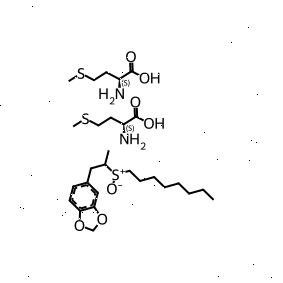 CCCCCCCC[S+]([O-])C(C)Cc1ccc2c(c1)OCO2.CSCC[C@H](N)C(=O)O.CSCC[C@H](N)C(=O)O